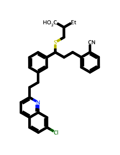 CCC(CSC(CCc1ccccc1C#N)c1cccc(CCc2ccc3ccc(Cl)cc3n2)c1)C(=O)O